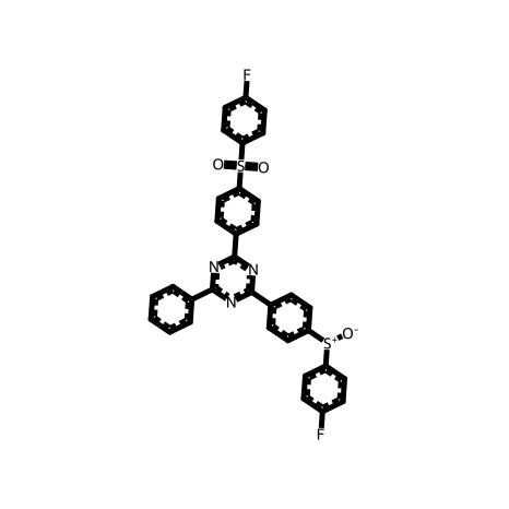 O=S(=O)(c1ccc(F)cc1)c1ccc(-c2nc(-c3ccccc3)nc(-c3ccc([S+]([O-])c4ccc(F)cc4)cc3)n2)cc1